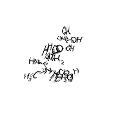 CN(CC(=O)O)C(=N)N.O.O.O.O.O=P(O)(O)O